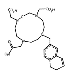 O=NC(=O)CN1CCN(CC(=O)O)CCN(CC(=O)O)CCN(Cc2ccc3c(c2)C=CCC3)CC1